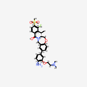 CCc1c(C(=O)N2CCOc3ccc(-c4ccc(N)c(OCCN(C)C)c4)cc3C2)ccc(S(C)(=O)=O)c1F